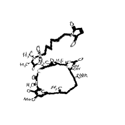 COc1cc2cc(c1Cl)N(C)C(=O)C[C@H](OC(=O)[C@H](C)N(C)S(=O)(=O)CCCCCCN1C(=O)C=CC1=O)[C@]1(C)OC1[C@H](C)[C@@H]1C[C@@](O)(NC(=O)O1)[C@H](OC)/C=C/C=C(\C)C2